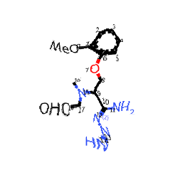 COc1ccccc1OCC(/C(N)=N/N=N)N(C)CC=O